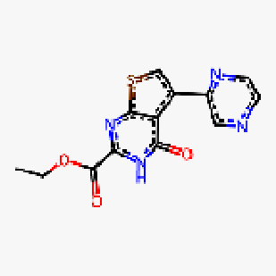 CCOC(=O)c1nc2scc(-c3cnccn3)c2c(=O)[nH]1